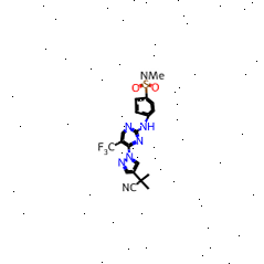 CNS(=O)(=O)c1ccc(Nc2ncc(C(F)(F)F)c(-n3cc(C(C)(C)C#N)cn3)n2)cc1